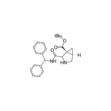 CC(C)(C)OC(=O)[C@@]12C[C@H]1CNC2C(=O)NC(c1ccccc1)c1ccccc1